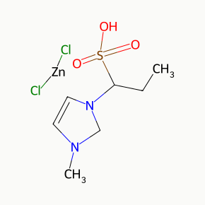 CCC(N1C=CN(C)C1)S(=O)(=O)O.[Cl][Zn][Cl]